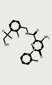 Nc1cc(=O)n(-c2ccccc2F)nc1C(=O)NCc1cccc(C(F)(F)CO)c1F